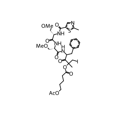 COC[C@H](NC(=O)c1cnc(C)s1)C(=O)N[C@@H](COC)C(=O)NC(Cc1ccccc1)C(=O)C(C)(CI)OC(=O)CCCCOC(C)=O